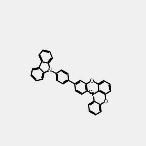 O=P12c3ccccc3Oc3cccc(c31)Oc1cc(-c3ccc(-n4c5ccccc5c5ccccc54)cc3)ccc12